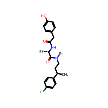 CCN(CCC(C)c1ccc(Cl)cc1)C(=O)[C@H](NC(=O)Cc1ccc(O)cc1)C(C)C